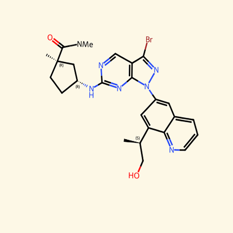 CNC(=O)[C@]1(C)CC[C@@H](Nc2ncc3c(Br)nn(-c4cc([C@H](C)CO)c5ncccc5c4)c3n2)C1